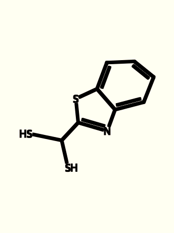 SC(S)c1nc2ccccc2s1